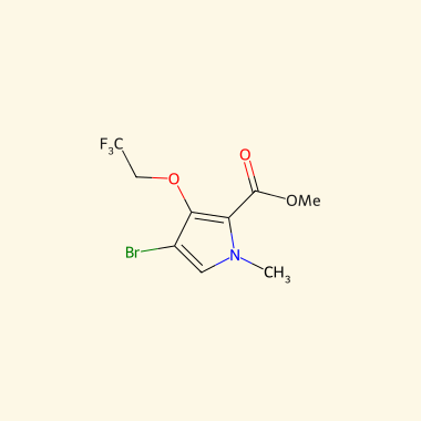 COC(=O)c1c(OCC(F)(F)F)c(Br)cn1C